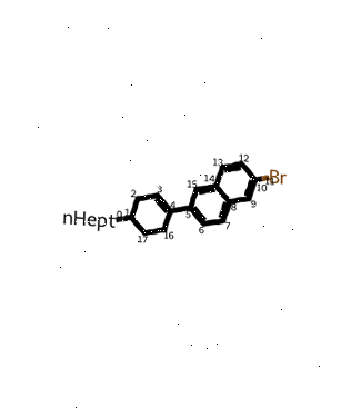 CCCCCCCC1CC=C(c2ccc3cc(Br)ccc3c2)CC1